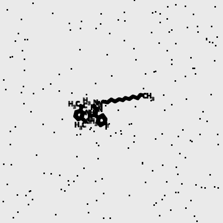 CCCCCCCCCCCCn1nnc(C(C(=O)Nc2c(C(C)C)cccc2C(C)C)c2ccc(F)cc2)n1